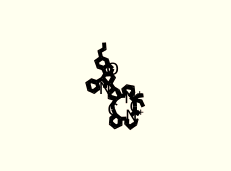 C=C1CC(CC)(CC)[n+]2ccccc2-c2cc3c4cc5oc6cc(CCC)ccc6c5c5c6ccccc6n(c3cc2CCc2ccccc2-c2cccc[n+]21)c45